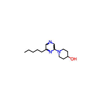 CCCCCc1cncc(N2CCC(O)CC2)n1